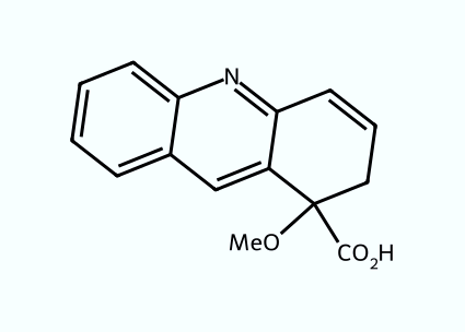 COC1(C(=O)O)CC=Cc2nc3ccccc3cc21